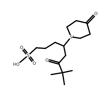 CC(C)(C)C(=O)CC(CCCS(=O)(=O)O)[S+]1CCC(=O)CC1